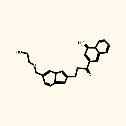 C=C1C=C(C(=O)CCC2=CC3C=C(COCCO)C=CC3=C2)C=C2C=CC=CC12